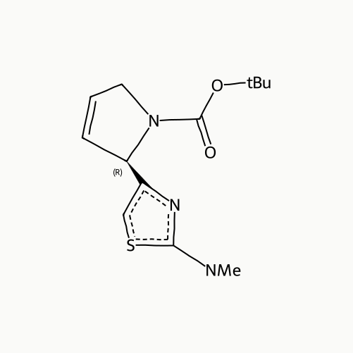 CNc1nc([C@H]2C=CCN2C(=O)OC(C)(C)C)cs1